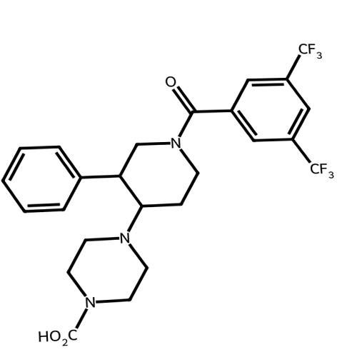 O=C(O)N1CCN(C2CCN(C(=O)c3cc(C(F)(F)F)cc(C(F)(F)F)c3)CC2c2ccccc2)CC1